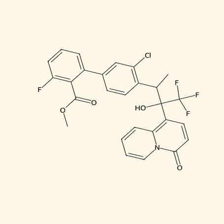 COC(=O)c1c(F)cccc1-c1ccc(C(C)C(O)(c2ccc(=O)n3ccccc23)C(F)(F)F)c(Cl)c1